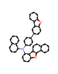 c1ccc2c(N(c3ccc(-c4ccc5oc6ccccc6c5c4)cc3)c3cccc4oc5c6ccccc6ccc5c34)cccc2c1